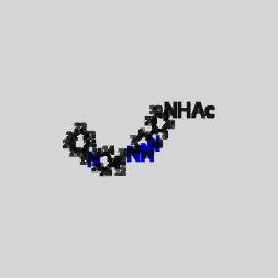 CC(=O)Nc1ccc(-c2ccc(NC[C@@H]3CC34CCN(CC3CCCCCC3)CC4)nn2)cc1